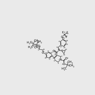 CC(C)(C)OC(=O)N1CCC(c2ccc(OCCO[Si](C)(C)C(C)(C)C)cc2)=C(C(=O)N(Cc2cccc(OC(F)(F)F)c2)C2CC2)C1